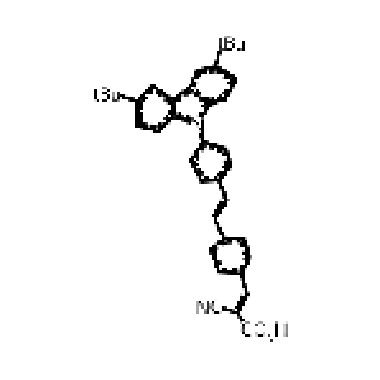 CC(C)(C)c1ccc2c(c1)c1cc(C(C)(C)C)ccc1n2-c1ccc(/C=C/c2ccc(/C=C(\C#N)C(=O)O)cc2)cc1